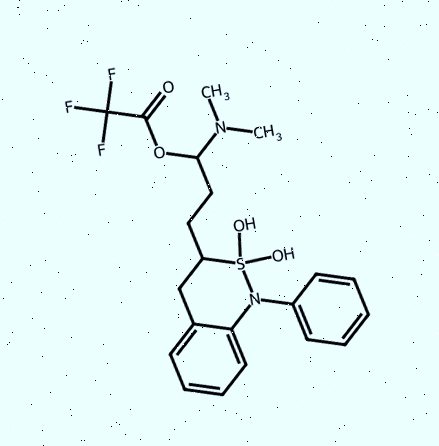 CN(C)C(CCC1Cc2ccccc2N(c2ccccc2)S1(O)O)OC(=O)C(F)(F)F